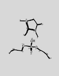 CC1CN(C)C(C)N1C.CCCOP(=O)(O)OCCC